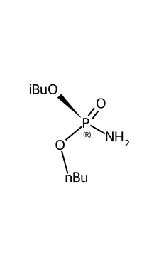 CCCCO[P@@](N)(=O)OCC(C)C